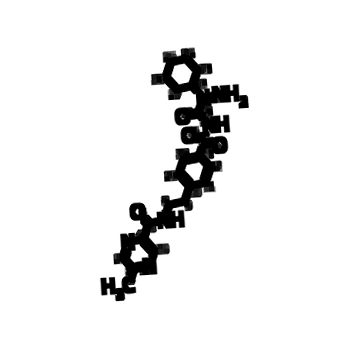 Cc1cnc(C(=O)NCCc2ccc(S(=O)(=O)NC(=O)N(N)C3CCCCC3)cc2)cn1